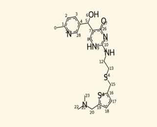 Cc1ccc(C(O)c2c[nH]c(NCCSCc3ccc(CN(C)C)s3)nc2=O)cn1